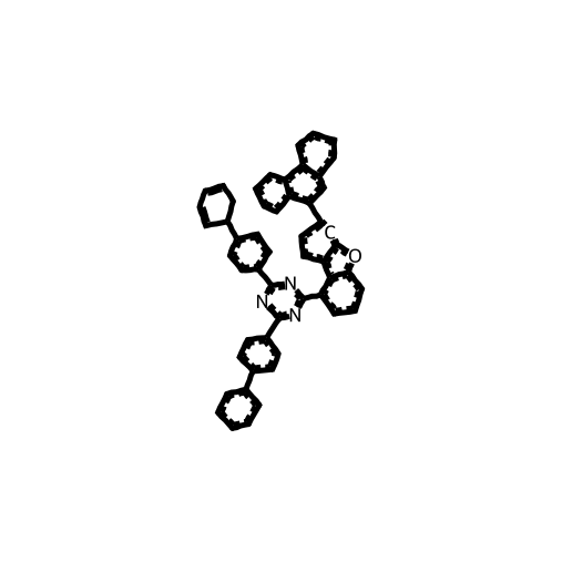 C1=CCC(c2ccc(-c3nc(-c4ccc(-c5ccccc5)cc4)nc(-c4cccc5oc6cc(-c7cc8ccccc8c8ccccc78)ccc6c45)n3)cc2)C=C1